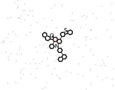 c1ccc(N(c2ccc(-c3ccc4sc5ccccc5c4c3)cc2)c2ccc(-c3cccc4ccccc34)cc2)c(-c2cccc3oc4c5ccccc5ccc4c23)c1